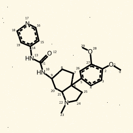 COc1ccc(C23CCC(NC(=O)Nc4ccncc4)CC2N(C)CC3)cc1OC